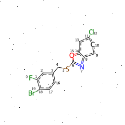 Fc1cc(CSc2nc3ccc(Cl)cc3o2)ccc1Br